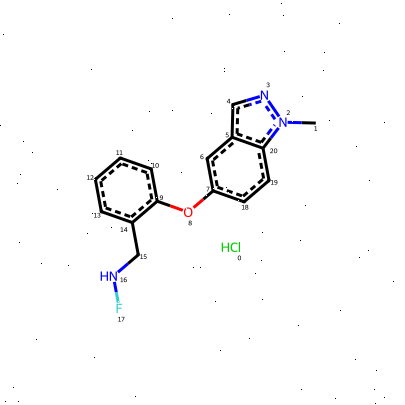 Cl.Cn1ncc2cc(Oc3ccccc3CNF)ccc21